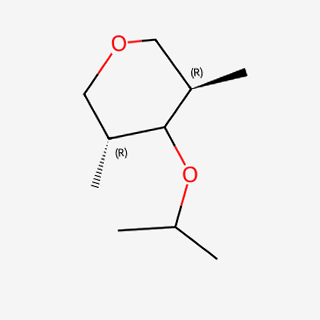 CC(C)OC1[C@H](C)COC[C@H]1C